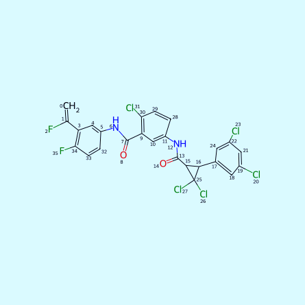 C=C(F)c1cc(NC(=O)c2cc(NC(=O)C3C(c4cc(Cl)cc(Cl)c4)C3(Cl)Cl)ccc2Cl)ccc1F